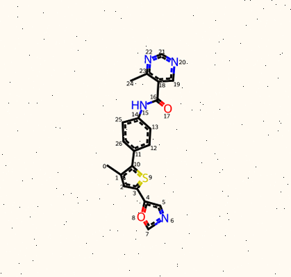 Cc1cc(-c2cnco2)sc1-c1ccc(NC(=O)c2cncnc2C)cc1